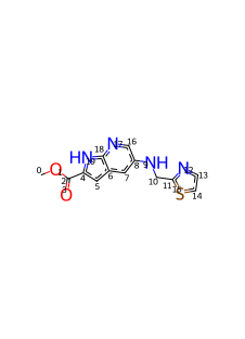 COC(=O)c1cc2cc(NCc3nccs3)cnc2[nH]1